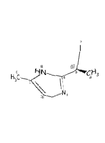 Cc1cnc([C@H](C)I)[nH]1